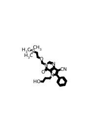 C[Si](C)(C)CCOCn1cnc2c(C#N)c(-c3ccccc3)n(CCCO)c2c1=O